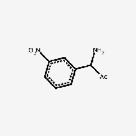 CC(=O)C(N)c1cccc([N+](=O)[O-])c1